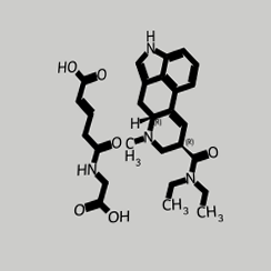 CCN(CC)C(=O)[C@@H]1C=C2c3cccc4[nH]cc(c34)C[C@H]2N(C)C1.O=C(O)C=CCC(=O)NCC(=O)O